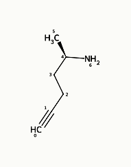 C#CCC[C@@H](C)N